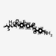 CCC(=S)NC[C@H]1CN(c2ccc(N3CCN(C(=O)CCC(=O)c4ccc(CN)cc4)CC3)c(F)c2)C(=O)O1